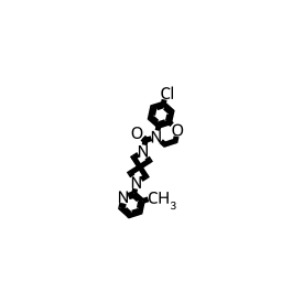 Cc1cccnc1N1CC2(CN(C(=O)N3CCOc4cc(Cl)ccc43)C2)C1